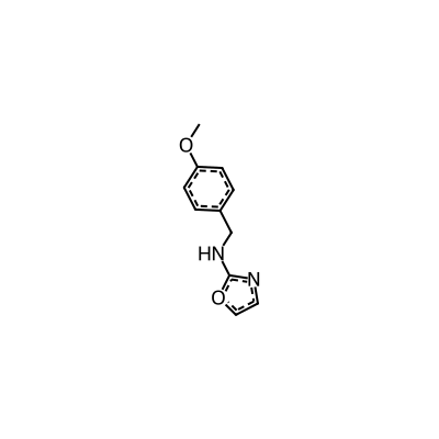 COc1ccc(CNc2ncco2)cc1